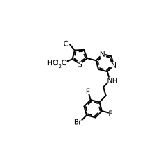 O=C(O)c1sc(-c2cc(NCCc3c(F)cc(Br)cc3F)ncn2)cc1Cl